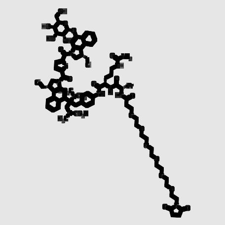 CC(C)[C@H](NC(=O)CCOCCOCCOCCOCCOCCOCCN1C(=O)C=CC1=O)C(=O)N[C@@H](CCCNC(N)=O)C(=O)Nc1ccc(CC(CN(C)C(=O)O)(c2cc3c(c4ccccc24)[C@H](CCl)CN3C(=O)c2ccc(C(=O)N3C[C@@H](CCl)c4c3cc(O[C@@H]3O[C@H](CO)[C@H](O)[C@H](O)[C@H]3O)c3ccccc43)s2)N(C)C(=O)O)cc1